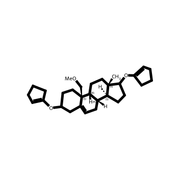 COC[C@]12CCC(OC3=CCCC3)CC1=CC[C@@H]1[C@H]2CC[C@]2(C)C(OC3=CCCC3)CC[C@@H]12